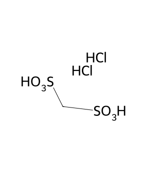 Cl.Cl.O=S(=O)(O)CS(=O)(=O)O